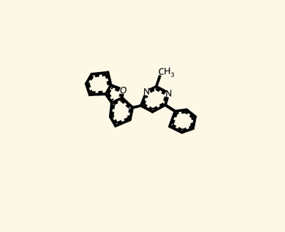 Cc1nc(-c2ccccc2)cc(-c2cccc3c2oc2ccccc23)n1